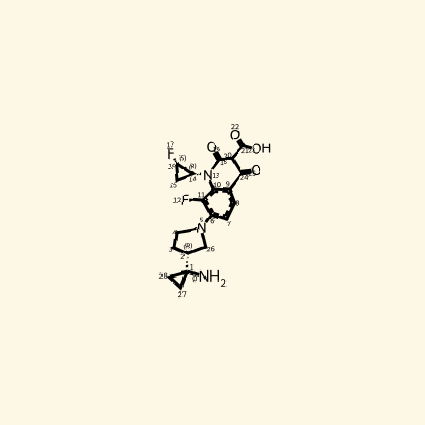 NC1([C@@H]2CCN(c3ccc4c(c3F)N([C@@H]3C[C@@H]3F)C(=O)C(C(=O)O)C4=O)C2)CC1